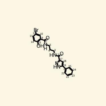 O=C(NCCCNC(=O)c1cc(Br)ccc1O)c1cc(-c2ccccc2)[nH]n1